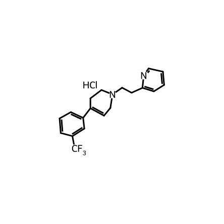 Cl.FC(F)(F)c1cccc(C2=CCN(CCc3ccccn3)CC2)c1